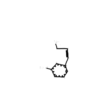 NC/C=C\c1cccc(O)c1